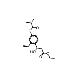 C=Cc1cc(OC(=O)N(C)C)ccc1C(O)CC(=O)OCC